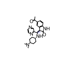 CC(=O)c1ccc2c(c1)/C(=C(/N[C@H]1CC[C@H](N(C)C)CC1)c1cnccn1)C(=O)N2